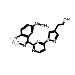 C/N=C(/c1nccc(-n2cc(CCO)cn2)n1)c1cc(OC)ccc1N